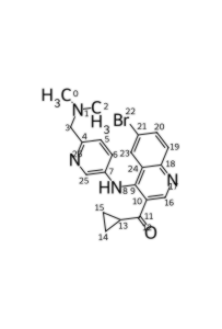 CN(C)Cc1ccc(Nc2c(C(=O)C3CC3)cnc3ccc(Br)cc23)cn1